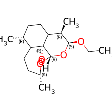 CCO[C@H]1O[C@@H]2O[C@]3(C)CCC4[C@H](C)CCC([C@H]1C)[C@]42OO3